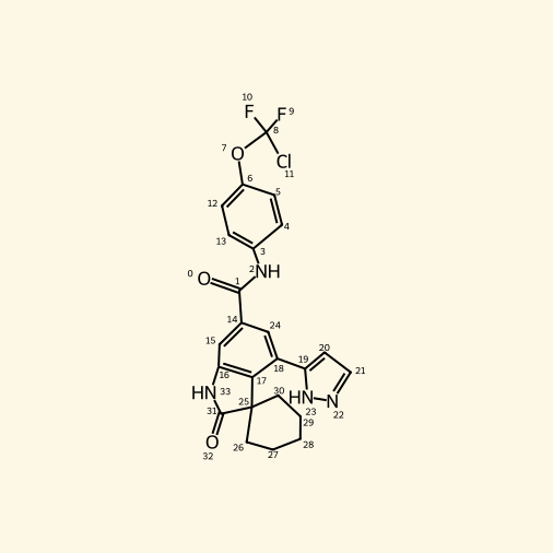 O=C(Nc1ccc(OC(F)(F)Cl)cc1)c1cc2c(c(-c3ccn[nH]3)c1)C1(CCCCC1)C(=O)N2